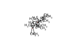 CCCCCCCC[Si]1(CCCCCCCC)c2cc(C)sc2-c2sc(-c3sc(-c4cc5c(s4)-c4sc(-c6sc(C)c7c6C(=O)N(CC(CC)CCCC)C7=O)cc4[Si]5(CC(CC)CCCC)CC(CC)CCCC)c4c3C(=O)N(CC(CC)CCCC)C4=O)cc21